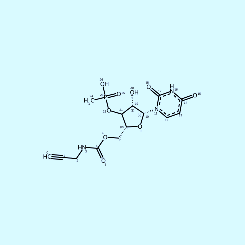 C#CCNC(=O)OC[C@H]1O[C@@H](n2ccc(=O)[nH]c2=O)[C@@H](O)C1OP(C)(=O)O